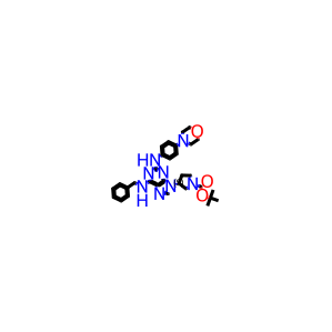 CC(C)(C)OC(=O)N1CC[C@H](n2cnc3c(NCc4ccccc4)nc(Nc4ccc(N5CCOCC5)cc4)nc32)C1